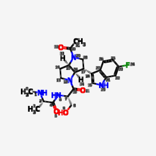 CN[C@@H](C)C(=O)N[C@@H](CO)C(=O)N1CC[C@@H]2[C@H]1[C@@H](c1c[nH]c3cc(F)ccc13)CN2C(C)=O